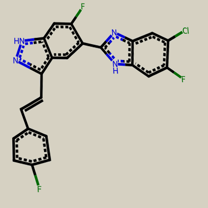 Fc1ccc(C=Cc2n[nH]c3cc(F)c(-c4nc5cc(Cl)c(F)cc5[nH]4)cc23)cc1